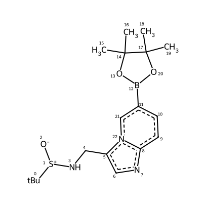 CC(C)(C)[S+]([O-])NCc1cnc2ccc(B3OC(C)(C)C(C)(C)O3)cn12